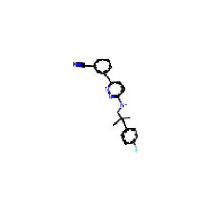 CC(C)(CNc1ccc(-c2cccc(C#N)c2)nn1)c1ccc(F)cc1